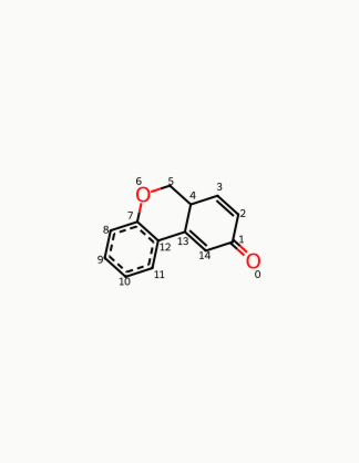 O=C1C=CC2COc3ccccc3C2=C1